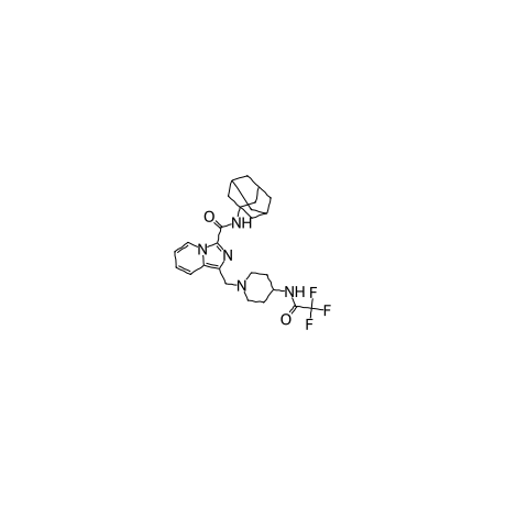 O=C(NC12CC3CC(CC(C3)C1)C2)c1nc(CN2CCC(NC(=O)C(F)(F)F)CC2)c2ccccn12